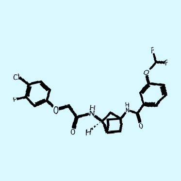 O=C(COc1ccc(Cl)c(F)c1)N[C@H]1CC2(NC(=O)c3cccc(OC(F)F)c3)CC1C2